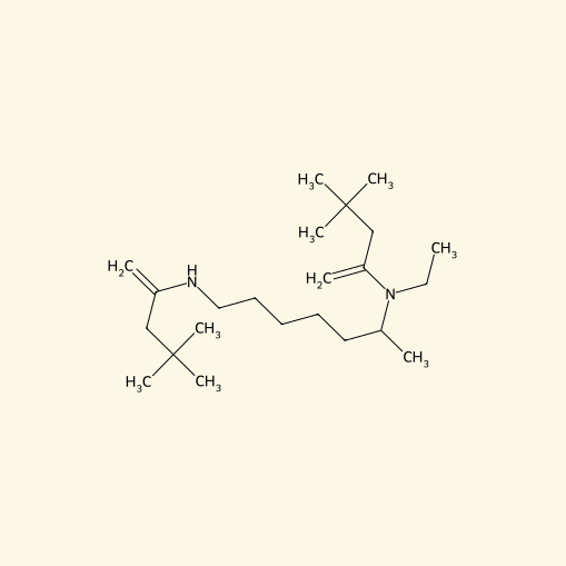 C=C(CC(C)(C)C)NCCCCCC(C)N(CC)C(=C)CC(C)(C)C